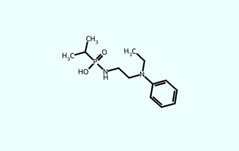 CCN(CCNP(=O)(O)C(C)C)c1ccccc1